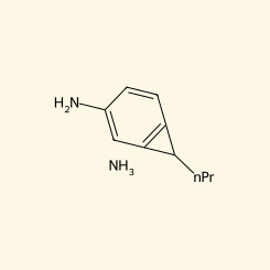 CCCC1c2ccc(N)cc21.N